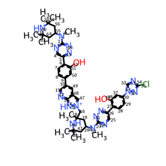 CN(c1ncc(-c2ccc(-c3cnc4[nH][n+](CC5(C)CC(N(C)c6ncc(-c7ccc(-n8cnc(Cl)n8)cc7O)nn6)CC(C)(C)N5)cc4c3)cc2O)nn1)C1CC(C)(C)NC(C)(C)C1